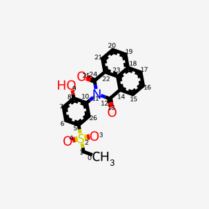 CCS(=O)(=O)c1ccc(O)c(N2C(=O)c3cccc4cccc(c34)C2=O)c1